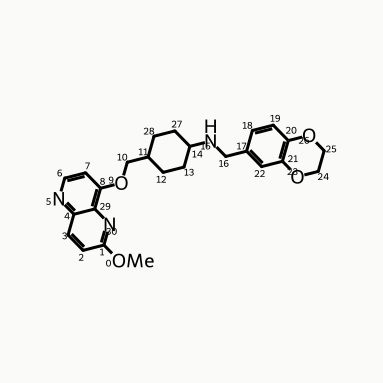 COc1ccc2nccc(OCC3CCC(NCc4ccc5c(c4)OCCO5)CC3)c2n1